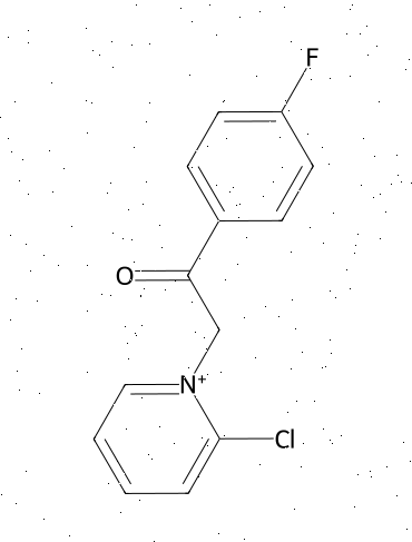 O=C(C[n+]1ccccc1Cl)c1ccc(F)cc1